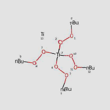 CCCCO[O][Ti]([O]OCCCC)([O]OCCCC)[O]OCCCC.[Ti]